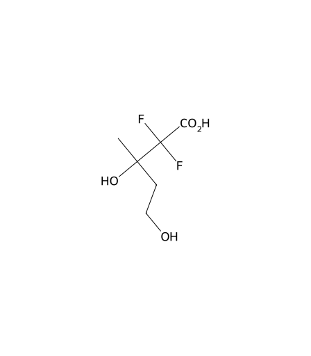 CC(O)(CCO)C(F)(F)C(=O)O